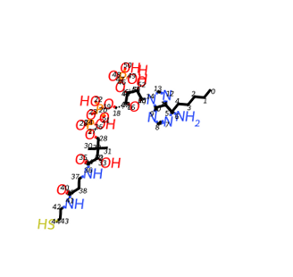 CCCCCC1(N)N=CN=C2C1=NCN2[C@@H]1O[C@H](COP(=O)(O)OP(=O)(O)OCC(C)(C)[C@@H](O)C(=O)NCCC(=O)NCCS)[C@@H](OP(=O)(O)O)[C@H]1O